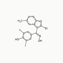 CCc1oc2ccc(C)cc2c1C(=NO)c1cc(I)c(O)c(I)c1